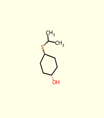 CC(C)S[C@H]1CC[C@H](O)CC1